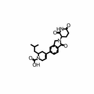 CC(C)CC1CC(c2ccc3c(c2)CN(C2CCC(=O)NC2=O)C3=O)=CCN1C(=O)O